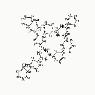 c1ccc(-c2nc(-c3cccc(-c4cccc(-c5nc(-c6ccccc6)nc(-c6ccc(-c7ccc8ccccc8c7)cc6)n5)c4)c3)cc(-c3ccc4c(c3)oc3ccccc34)n2)cc1